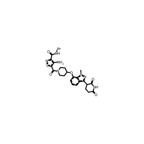 CC(C)NC(=O)c1nsc(C(=O)N2CCC(Oc3cccc4c(C5CCC(=O)NC5=O)nn(C)c34)CC2)c1N